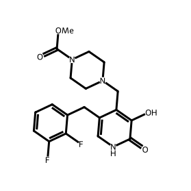 COC(=O)N1CCN(Cc2c(Cc3cccc(F)c3F)c[nH]c(=O)c2O)CC1